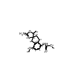 COC(=O)Nc1ccc(OC)c2c1CCC1(C2)N=C(N)OC1C